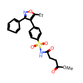 CCc1onc(-c2ccccc2)c1-c1ccc(S(=O)(=O)NC(=O)CCC(=O)OC)cc1